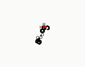 O=C(OCOc1ccc2c(c1)[C@]13CCCC[C@@H]1[C@H](C2)NCC3)C12CC3CC(CC(C3)C1)C2